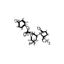 CC1CCC(=O)N1[C@H]1CN(C(=O)Oc2ccc(Cl)cc2)CC(F)(F)C1